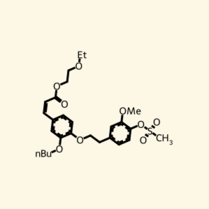 CCCCOc1cc(/C=C\C(=O)OCCOCC)ccc1OCCc1ccc(OS(C)(=O)=O)c(OC)c1